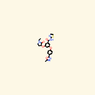 CCN1CC[C@H](Oc2cc(Oc3ccc(-c4nnc(C)o4)cc3)cc(C(=O)Nc3nccs3)c2)C1=O